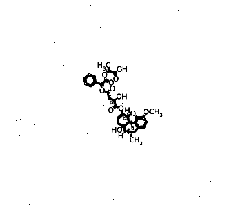 COc1ccc2c3c1O[C@@H]1C(OC(=O)[C@@H](O)CC(=O)O[C@H](C(=O)O[C@@H](C)C(=O)O)c4ccccc4)=CC[C@]4(O)[C@H](C2)N(C)CC[C@@]314